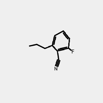 CCCc1cccc(F)c1C#N